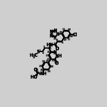 CSCCC(NC(=O)C=Cc1cc(Cl)ccc1-n1cnnn1)c1cc(-c2ccc(NC(=O)O)cc2)c(=O)[nH]n1